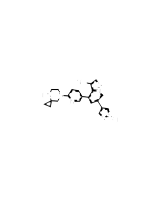 Cn1cc(-c2cc(-c3ccc(N4CCNC5(CC5)C4)nc3)c3c(C#N)cnn3c2)cn1